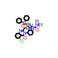 CCNC(=O)Nc1cccc(-n2c(C(C)O[Si](c3ccccc3)(c3ccccc3)C(C)(C)C)nc3cccc(Cl)c3c2=O)c1